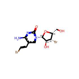 Nc1nc(=O)n([C@@H]2O[C@H](CO)[C@H](Br)[C@H]2O)cc1C=CBr